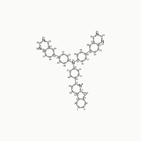 c1ccc2c(c1)oc1nc(-c3ccc(N(c4ccc(-c5ccc6ncncc6c5)cc4)c4ccc(-c5ccc6ncncc6c5)cc4)cc3)ccc12